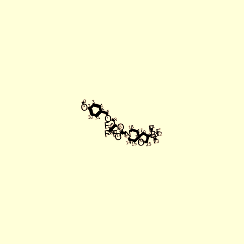 COc1ccc(COC[C@@H](OC(=O)N2CCC3(CC2)CC([B-](F)(F)F)CO3)C(F)(F)F)cc1